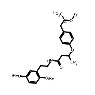 CCO[C@@H](Cc1ccc(OC(C)CC(=O)NCCc2cc(OC)ccc2OC)cc1)C(=O)O